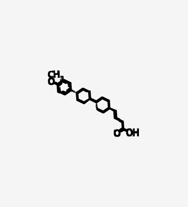 COc1ccc([C@H]2CC[C@H]([C@H]3CC[C@H](C=CCC(=O)O)CC3)CC2)cc1